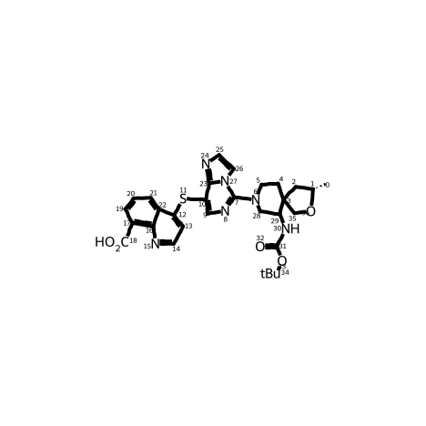 C[C@H]1CC2(CCN(c3ncc(Sc4ccnc5c(C(=O)O)cccc45)c4nccn34)CC2NC(=O)OC(C)(C)C)CO1